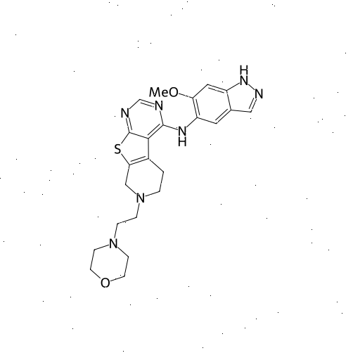 COc1cc2[nH]ncc2cc1Nc1ncnc2sc3c(c12)CCN(CCN1CCOCC1)C3